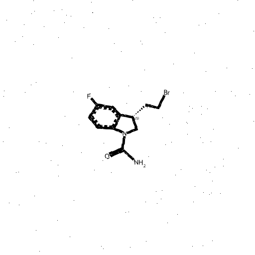 NC(=O)N1C[C@@H](CCBr)c2cc(F)ccc21